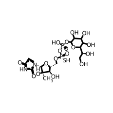 C[C@@]1(O)[C@H](O)[C@@H](COP(=O)(S)OP(=O)(O)OC2OC([C@@H](O)CO)C(O)C(O)C2O)O[C@H]1n1ccc(=O)[nH]c1=O